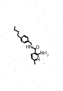 CCCCc1ccc(CNC(=O)c2ccc(C)nc2N)cc1